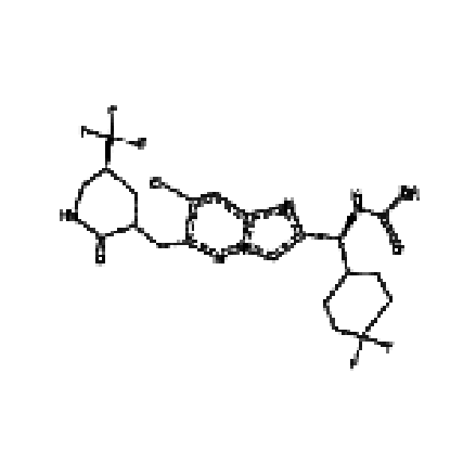 O=C(O)N[C@H](c1cn2nc(CC3C[C@H](C(F)(F)F)CNC3=O)c(Cl)cc2n1)C1CCC(F)(F)CC1